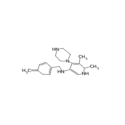 C=C1C=CC(CNC2=CNC(C)C(C)=C2N2CCNCC2)=CC1